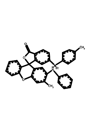 CCN(c1ccc(C)cc1)c1ccc2c(c1)C1(OC2=O)c2ccccc2Oc2cc(C)c(Nc3ccccc3)cc21